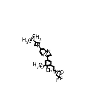 COc1cc(-c2cnc3cc(N4CC(N(C)C)C4)ccn23)cc(CCN(C=O)CC(F)(F)F)c1C